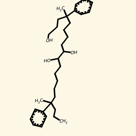 CCCC(C)(CCCCCC(O)C(O)CCCCC(C)(CCCO)c1ccccc1)c1ccccc1